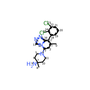 Cc1cc(N2CCC(C)(N)CC2)n2cnnc2c1-c1cccc(Cl)c1Cl